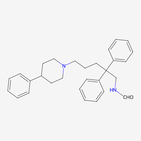 O=CNCC(CCCN1CCC(c2ccccc2)CC1)(c1ccccc1)c1ccccc1